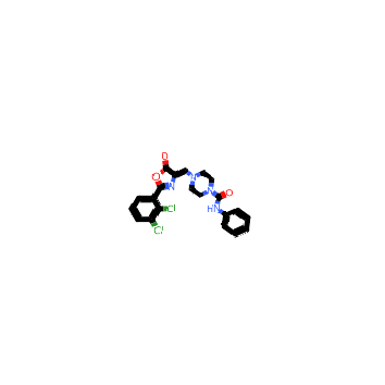 O=C1OC(c2cccc(Cl)c2Cl)=NC1=CN1CCN(C(=O)Nc2ccccc2)CC1